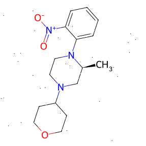 C[C@H]1CN(C2CCOCC2)CCN1c1ccccc1[N+](=O)[O-]